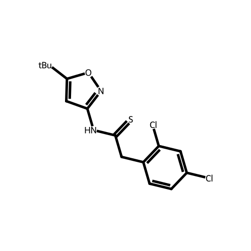 CC(C)(C)c1cc(NC(=S)Cc2ccc(Cl)cc2Cl)no1